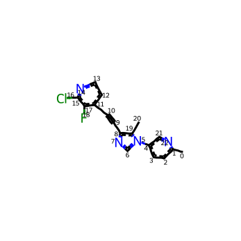 Cc1ccc(-n2cnc(C#Cc3ccnc(Cl)c3F)c2C)cn1